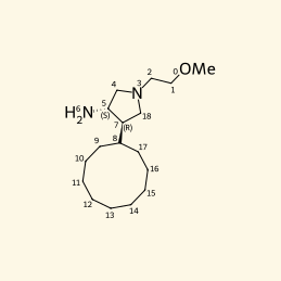 COCCN1C[C@@H](N)[C@H](C2CCCCCCCCC2)C1